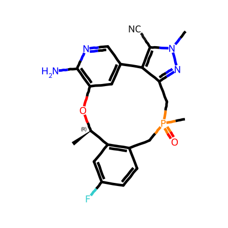 C[C@H]1Oc2cc(cnc2N)-c2c(nn(C)c2C#N)CP(C)(=O)Cc2ccc(F)cc21